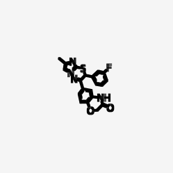 Cc1cn2c(n1)SC(c1cccc(F)c1)C(c1ccc3c(c1)NC(=O)CO3)=N2